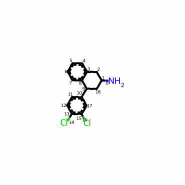 NC1Cc2ccccc2C(c2ccc(Cl)c(Cl)c2)C1